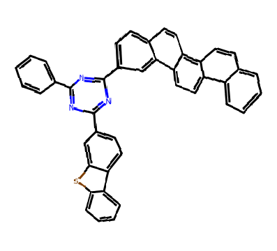 c1ccc(-c2nc(-c3ccc4c(c3)sc3ccccc34)nc(-c3ccc4ccc5c(ccc6c7ccccc7ccc65)c4c3)n2)cc1